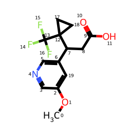 COc1cncc(C(CC(=O)O)C2(C(F)(F)F)CC2)c1